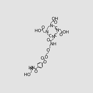 CN(CO)NC(=O)c1ccc(OC(=O)OCCOCCNC(=O)CN2CCN(CC(=O)O)CCN(CC(=O)O)CCN(CC(=O)O)CC2)cc1